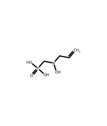 C=CCN(O)CP(=O)(O)O